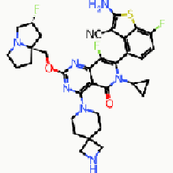 N#Cc1c(N)sc2c(F)ccc(-c3c(F)c4nc(OC[C@@]56CCCN5C[C@H](F)C6)nc(N5CCC6(CC5)CNC6)c4c(=O)n3C3CC3)c12